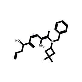 C=CCC(O)C(=C)/C=C\C(N)=C(/C)N(Cc1ccccc1)C1CC(C)(F)C1